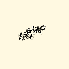 CC(C)(C)C(C)(C)c1cc(NC(=O)C(C)(C)S(=O)(=O)C2CCOCC2)on1